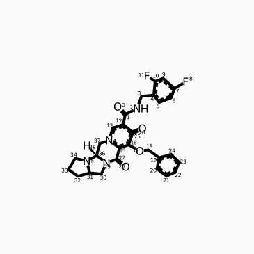 O=C(NCc1ccc(F)cc1F)c1cn2c(c(OCc3ccccc3)c1=O)C(=O)N1CC3CCCN3[C@@H]1C2